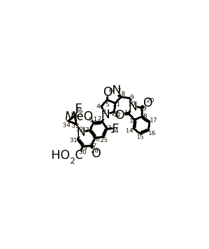 COc1c(N2CC3ON=C(CN4C(=O)c5ccccc5C4=O)C3C2)c(F)cc2c(=O)c(C(=O)O)cn([C@@H]3C[C@@H]3F)c12